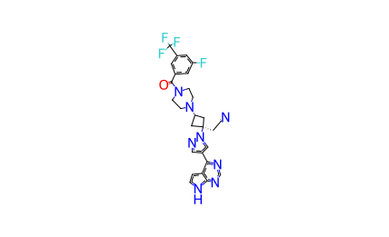 N#CC[C@]1(n2cc(-c3ncnc4[nH]ccc34)cn2)C[C@H](N2CCN(C(=O)c3cc(F)cc(C(F)(F)F)c3)CC2)C1